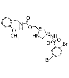 COc1ccccc1CNC(=O)OC[C@H]1C[C@@H](NS(=O)(=O)c2cc(Br)ccc2Br)CN1